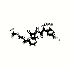 CON=C(C(=O)NC1C(=O)N2C(C(=O)OCOC(=O)C(C)C)=CCS[C@@H]12)c1csc(N)n1